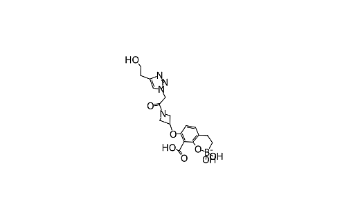 O=C(O)c1c(OC2CN(C(=O)Cn3cc(CCO)nn3)C2)ccc2c1O[B-](O)(O)CC2